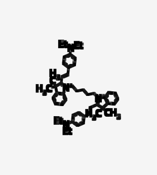 CCN(CC)c1ccc(/C=C/C2=[N+](CCCCC[N+]3=C(/C=C/c4ccc(N(CC)CC)cc4)C(C)(C)c4ccccc43)c3ccccc3C2(C)C)cc1